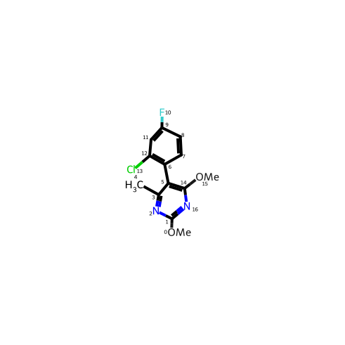 COc1nc(C)c(-c2ccc(F)cc2Cl)c(OC)n1